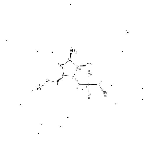 B[C@@H]1O[C@H](COC(C)C)[C@@H](OP(=O)(O)OC(C)C)[C@@H]1F